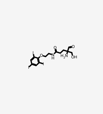 NC(C=O)(CO)CCC(=O)NCCOc1c(I)cc(I)cc1I